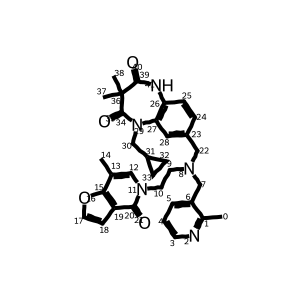 Cc1ncccc1CN(CCn1cc(C)c2occc2c1=O)Cc1ccc2c(c1)N(CC1CC1)C(=O)C(C)(C)C(=O)N2